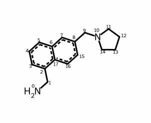 NCc1cccc2cc(CN3CCCC3)ccc12